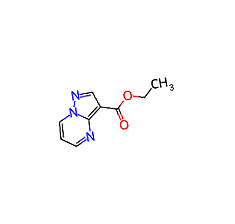 CCOC(=O)c1cnn2cccnc12